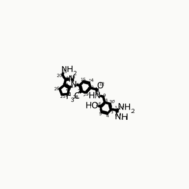 N=C(N)c1ccc(O)c(CNC(=O)c2ccc(-n3nc(CN)c4c3CCC4)c(C(F)(F)F)c2)c1